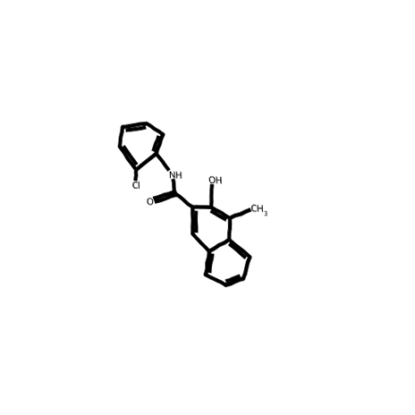 Cc1c(O)c(C(=O)Nc2ccccc2Cl)cc2ccccc12